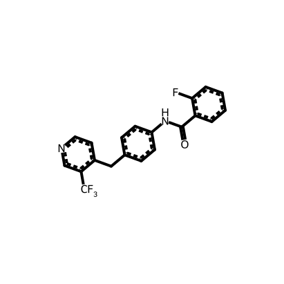 O=C(Nc1ccc(Cc2ccncc2C(F)(F)F)cc1)c1ccccc1F